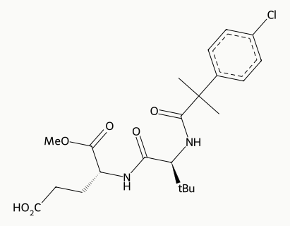 COC(=O)[C@@H](CCC(=O)O)NC(=O)[C@@H](NC(=O)C(C)(C)c1ccc(Cl)cc1)C(C)(C)C